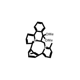 COC1(OC)c2ccccc2-c2cccc3[n+]2C1C[n+]1c(C)cccc1-c1cccc-3c1C